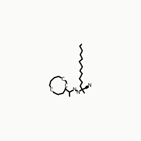 CCCCCCCCCCCCC(C)(C#N)N=NC(C)C1CCCCCCCCCCC1